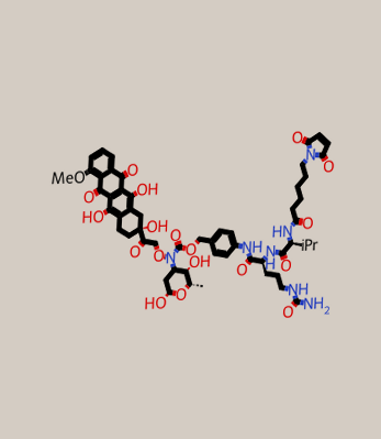 COc1cccc2c1C(=O)c1c(O)c3c(c(O)c1C2=O)C[C@@](O)(C(=O)CON(C(=O)OCc1ccc(NC(=O)[C@H](CCCNC(N)=O)NC(=O)[C@@H](NC(=O)CCCCCN2C(=O)C=CC2=O)C(C)C)cc1)C1C[C@H](O)O[C@@H](C)[C@H]1O)CC3